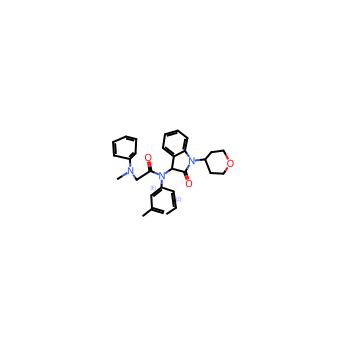 C=C(C)/C=C(\C=C/C)N(C(=O)CN(C)c1ccccc1)C1C(=O)N(C2CCOCC2)c2ccccc21